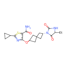 CCC1NC(=O)N([C@H]2CC3(C[C@H](Oc4nc(C5CC5)sc4C(N)=O)C3)C2)C1=O